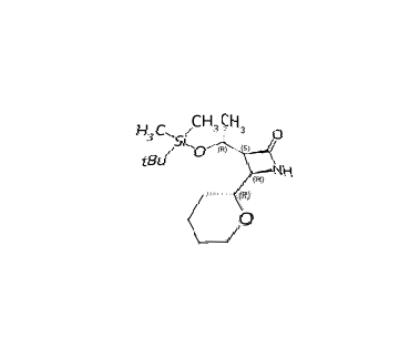 C[C@@H](O[Si](C)(C)C(C)(C)C)[C@H]1C(=O)N[C@H]1[C@H]1CCCCO1